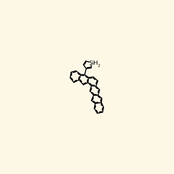 C1=CC(c2c3ccccc3cc3c2ccc2cc4cc5ccccc5cc4cc23)=C[SiH2]1